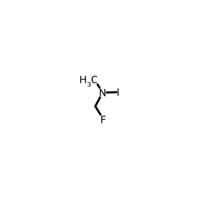 CN(I)CF